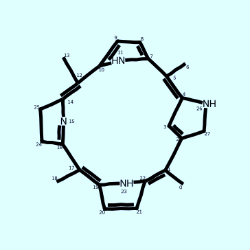 Cc1c2cc(c(C)c3ccc([nH]3)c(C)c3nc(c(C)c4ccc1[nH]4)CC3)NC2